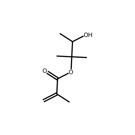 C=C(C)C(=O)OC(C)(C)C(C)O